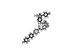 CS(=O)(=O)[C@@]1(C(=O)Nc2ccc3[nH]nc(-c4ccc(F)cc4)c3c2)CCN(CC(=O)N2CCN(c3ccc(-c4ncc(F)cn4)cc3)CC2)C1